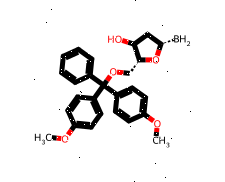 B[C@H]1CC(O)[C@@H](COC(c2ccccc2)(c2ccc(OC)cc2)c2ccc(OC)cc2)O1